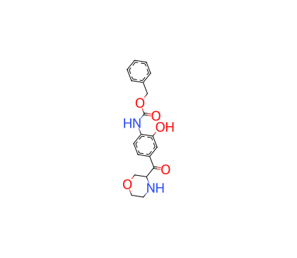 O=C(Nc1ccc(C(=O)C2COCCN2)cc1O)OCc1ccccc1